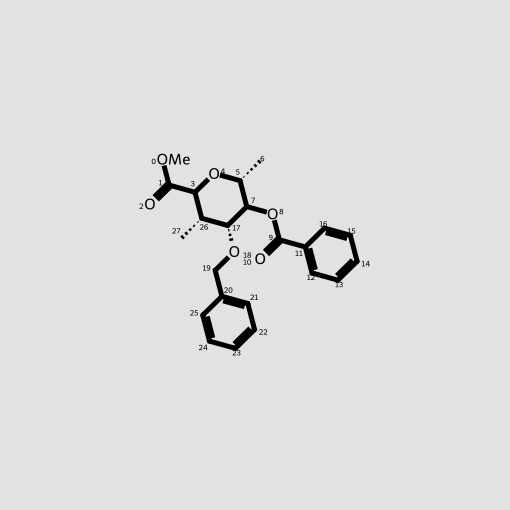 COC(=O)C1O[C@H](C)C(OC(=O)c2ccccc2)[C@H](OCc2ccccc2)[C@@H]1C